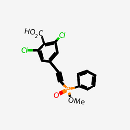 COP(=O)(C#Cc1cc(Cl)c(C(=O)O)c(Cl)c1)c1ccccc1